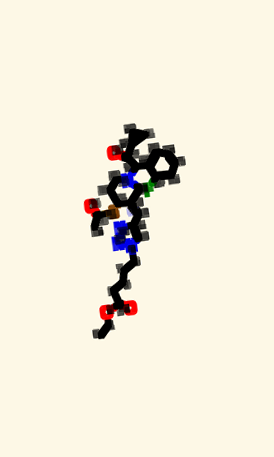 CCOC(=O)CCCCn1cc(/C=C2/CN(C(C(=O)C3CC3)c3ccccc3F)CCC2SC(C)=O)nn1